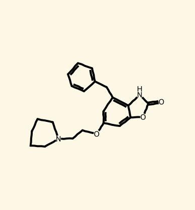 O=c1[nH]c2c(Cc3ccccc3)cc(OCCN3CCCCC3)cc2o1